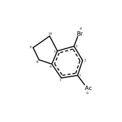 CC(=O)c1cc(Br)c2c(c1)CCC2